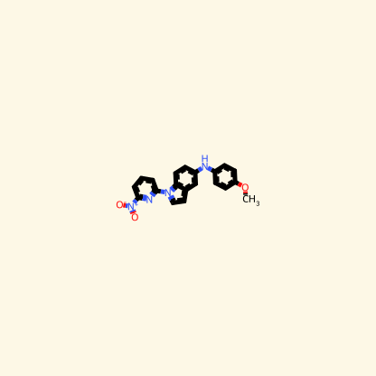 COc1ccc(Nc2ccc3c(ccn3-c3cccc([N+](=O)[O-])n3)c2)cc1